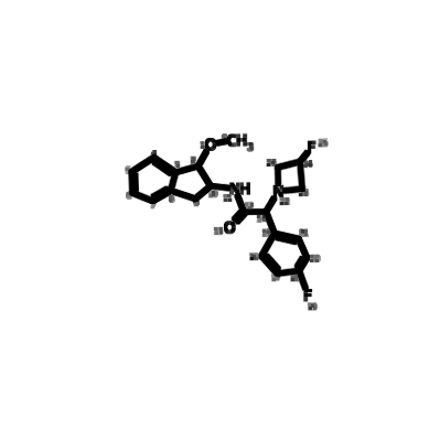 COC1c2ccccc2CC1NC(=O)C(c1ccc(F)cc1)N1CC(F)C1